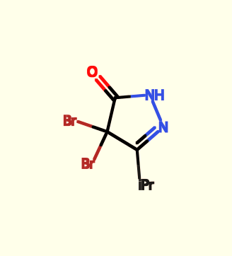 CC(C)C1=NNC(=O)C1(Br)Br